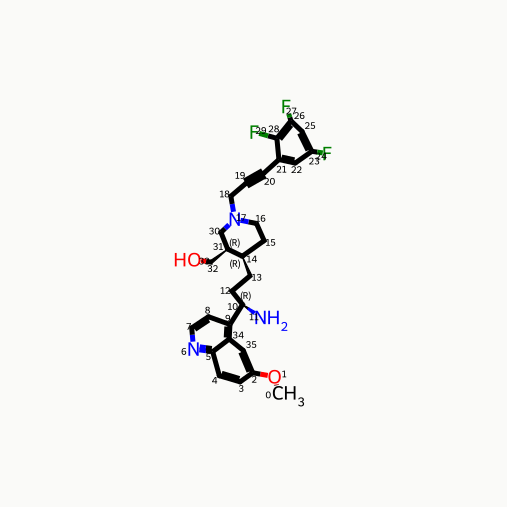 COc1ccc2nccc([C@H](N)CC[C@@H]3CCN(CC#Cc4cc(F)cc(F)c4F)C[C@@H]3CO)c2c1